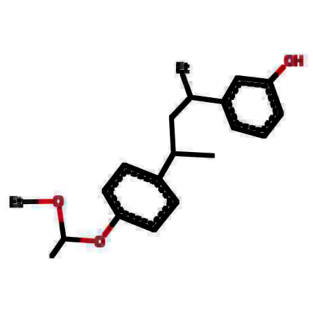 CCOC(C)Oc1ccc(C(C)CC(CC)c2cccc(O)c2)cc1